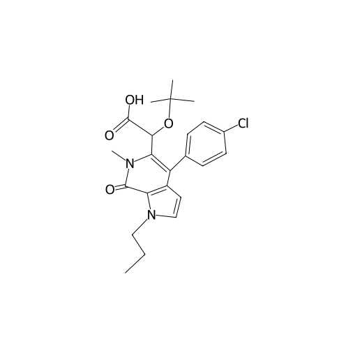 CCCn1ccc2c(-c3ccc(Cl)cc3)c(C(OC(C)(C)C)C(=O)O)n(C)c(=O)c21